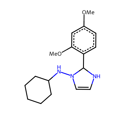 COc1ccc(C2NC=CN2NC2CCCCC2)c(OC)c1